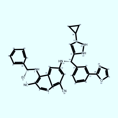 CC[C@@H](Nc1c(C#N)cnc2c(C#N)cc(N[C@H](C3=CN(C4CC4)NN3)c3cccc(-c4ncco4)c3)cc12)c1ccccc1